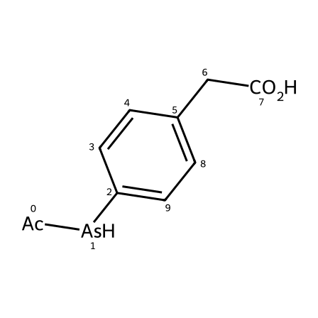 CC(=O)[AsH]c1ccc(CC(=O)O)cc1